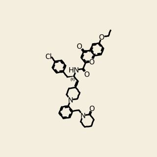 CCOc1ccc2oc(C(=O)N[C@@H](C=C3CCN(c4ccccc4CN4CCCCC4=O)CC3)Cc3ccc(Cl)cc3)cc(=O)c2c1